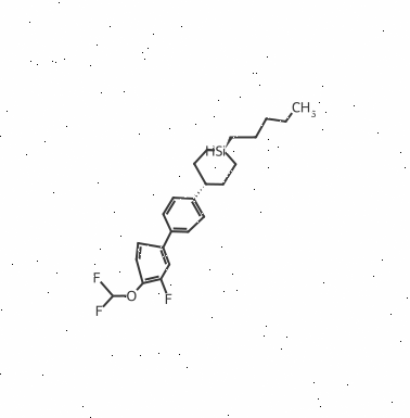 CCCCC[Si@H]1CC[C@H](c2ccc(-c3ccc(OC(F)F)c(F)c3)cc2)CC1